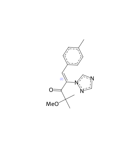 COC(C)(C)C(=O)/C(=C/c1ccc(C)cc1)n1cncn1